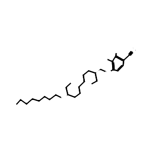 CCCCCCCCO[C@H]1CC[C@H]([C@H]2CC[C@H](COc3ccc(C#N)c(F)c3F)CC2)CC1